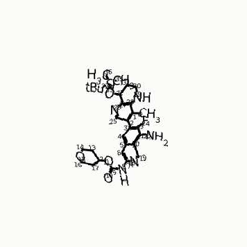 Cc1c(-c2cc3cc(NC(=O)OC4CCOCC4)ncc3c(N)c2F)cnc2c1NCCC2O[Si](C)(C)C(C)(C)C